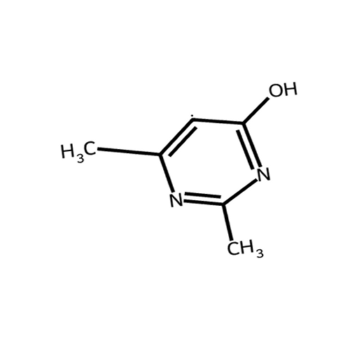 Cc1[c]c(O)nc(C)n1